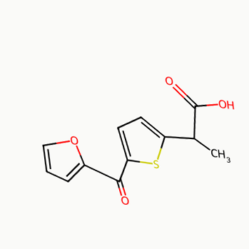 CC(C(=O)O)c1ccc(C(=O)c2ccco2)s1